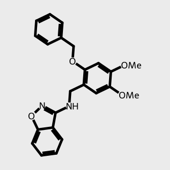 COc1cc(CNc2noc3ccccc23)c(OCc2ccccc2)cc1OC